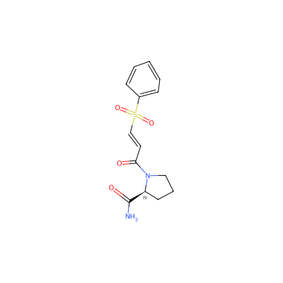 NC(=O)[C@@H]1CCCN1C(=O)C=CS(=O)(=O)c1ccccc1